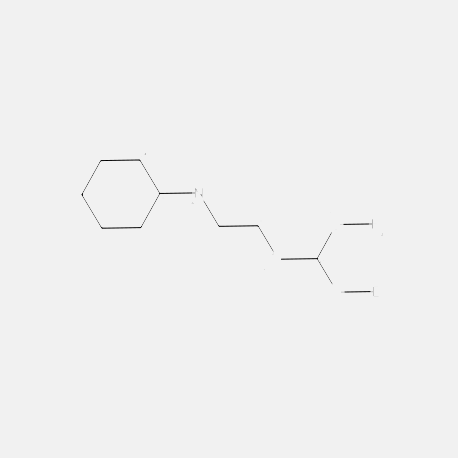 CCOC(OCC)[SiH2]C[CH]NC1CCCCC1